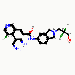 N=C/C(=C\N)c1c(F)cncc1/C=C/C(=O)Nc1ccc2c(c1)CN(CC(F)(F)CO)C2